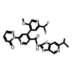 COc1cnc(C(F)F)cc1-c1cc(-n2ncccc2=O)ncc1C(=O)Nc1nc2cnc(C(C)C)cc2s1